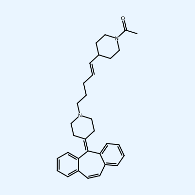 CC(=O)N1CCC(C=CCCCN2CCC(=C3c4ccccc4C=Cc4ccccc43)CC2)CC1